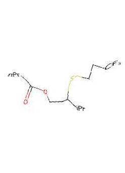 CCCC(=O)OCC(SCCC(F)(F)F)C(C)C